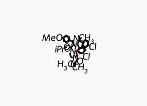 COc1ccc(C2=NC(C)(c3ccc(Cl)cc3)C(c3ccc(Cl)cc3)N2C(=O)N2CCN(C(=O)N(C)C)CC2)c(OC(C)C)c1